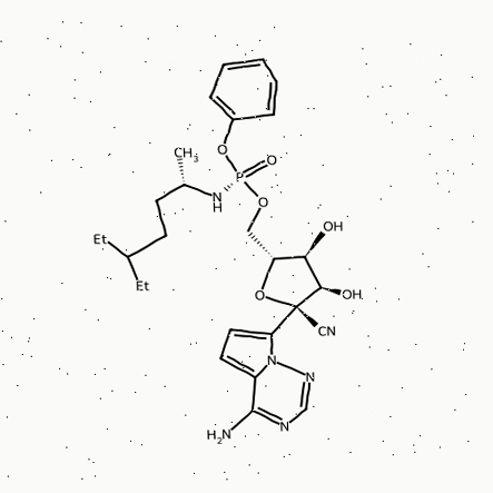 CCC(CC)CC[C@H](C)N[P@](=O)(OC[C@H]1O[C@@](C#N)(c2ccc3c(N)ncnn23)[C@H](O)[C@@H]1O)Oc1ccccc1